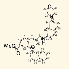 COC(=O)c1ccc(C=C(CNc2ccc3ccc(N4CCOCC4)cc3c2)COc2cccc3ccccc23)cc1